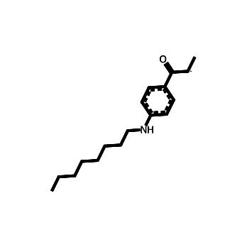 C[CH]C(=O)c1ccc(NCCCCCCCC)cc1